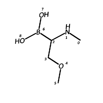 CNC(COC)B(O)O